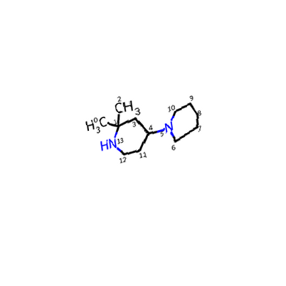 CC1(C)CC(N2CCCCC2)CCN1